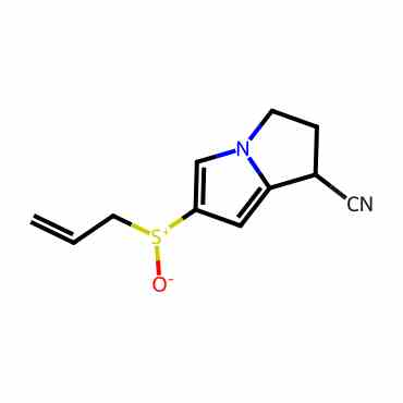 C=CC[S+]([O-])c1cc2n(c1)CCC2C#N